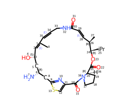 CC1=C\[C@@H](O)C[C@@H](N)Cc2nc(cs2)C(=O)N2CCC[C@@H]2C(=O)O[C@H](C(C)C)[C@H](C)/C=C/C(=O)NC\C=C\1